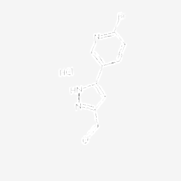 Cl.O=Cc1cc(-c2ccc(Br)nc2)[nH]n1